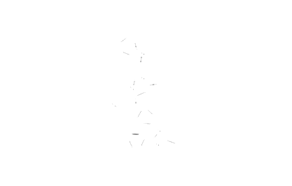 CCCCc1nc(C)n(Cc2nc3ccccc3s2)c(=O)c1Cc1ccc(-c2ccccc2-c2noc(=O)[nH]2)cc1.[NaH]